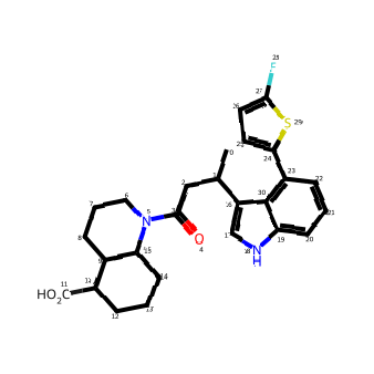 CC(CC(=O)N1CCCC2C(C(=O)O)CCCC21)c1c[nH]c2cccc(-c3ccc(F)s3)c12